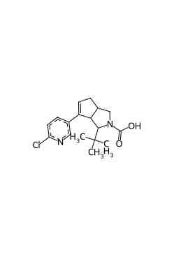 CC(C)(C)C1C2C(c3ccc(Cl)nc3)=CCC2CN1C(=O)O